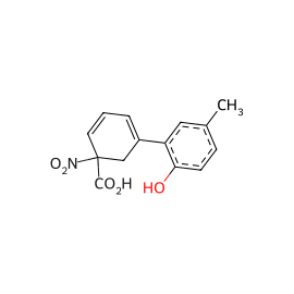 Cc1ccc(O)c(C2=CC=CC(C(=O)O)([N+](=O)[O-])C2)c1